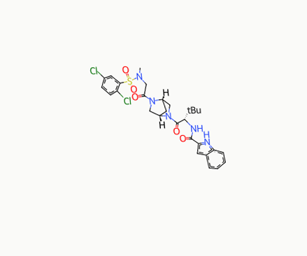 CN(CC(=O)N1C[C@@H]2C[C@H]1CN2C(=O)[C@@H](NC(=O)c1cc2ccccc2[nH]1)C(C)(C)C)S(=O)(=O)c1cc(Cl)ccc1Cl